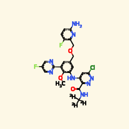 [2H]C([2H])([2H])NC(=O)c1nnc(Cl)cc1Nc1cc(COCc2nc(N)ccc2F)cc(-c2ncc(F)cn2)c1OC